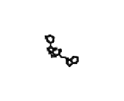 O=C(CCn1ccc2ccccc21)Nc1nnc(-c2cccnc2)[nH]1